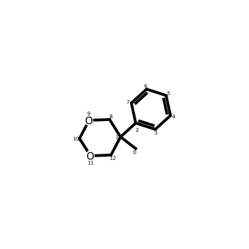 CC1(c2ccccc2)CO[CH]OC1